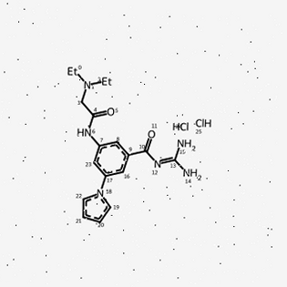 CCN(CC)CC(=O)Nc1cc(C(=O)N=C(N)N)cc(-n2cccc2)c1.Cl.Cl